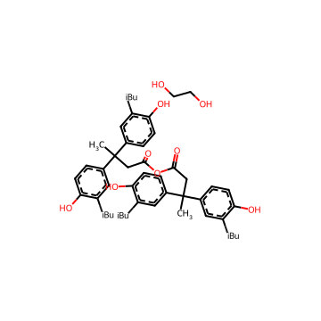 CCC(C)c1cc(C(C)(CC(=O)OC(=O)CC(C)(c2ccc(O)c(C(C)CC)c2)c2ccc(O)c(C(C)CC)c2)c2ccc(O)c(C(C)CC)c2)ccc1O.OCCO